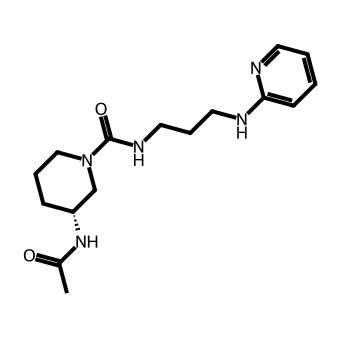 CC(=O)N[C@@H]1CCCN(C(=O)NCCCNc2ccccn2)C1